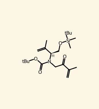 C=C(C)C(=O)CN(C(=O)OC(C)(C)C)[C@H](CO[Si](C)(C)C(C)(C)C)C(=C)C